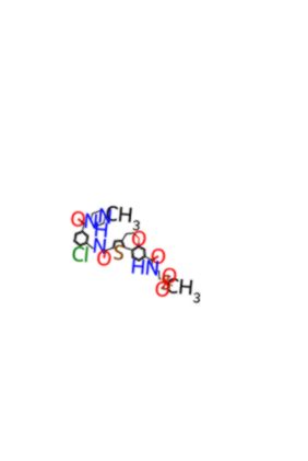 CN1CCN(C(=O)c2ccc(Cl)c(CNC(=O)c3cc4c(s3)-c3ccc(C(=O)NCCS(C)(=O)=O)cc3OCC4)c2)CC1